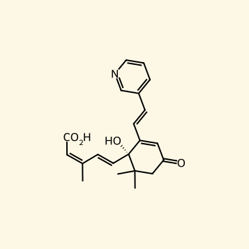 CC(=C/C(=O)O)/C=C/[C@@]1(O)C(/C=C/c2cccnc2)=CC(=O)CC1(C)C